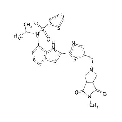 CC(C)N(c1cccc2cc(-c3ncc(CN4CC5C(=O)N(C)C(=O)C5C4)s3)[nH]c12)S(=O)(=O)c1cccs1